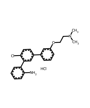 CN(C)CCOc1cccc(-c2ccc(Cl)c(-c3ccccc3N)c2)c1.Cl